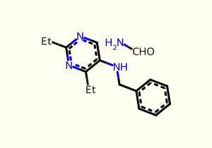 CCc1ncc(NCc2ccccc2)c(CC)n1.NC=O